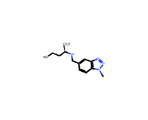 Cn1nnc2cc(CN[C@@H](CCC(C)(C)C)C(=O)O)ccc21